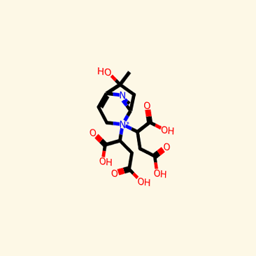 CC1(O)CC2=NC1=CC[N+]2(C(CC(=O)O)C(=O)O)C(CC(=O)O)C(=O)O